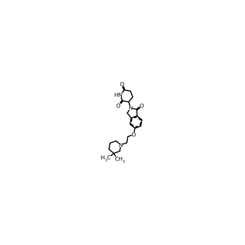 CC1(C)CCCN(CCOc2ccc3c(c2)CN(C2CCC(=O)NC2=O)C3=O)C1